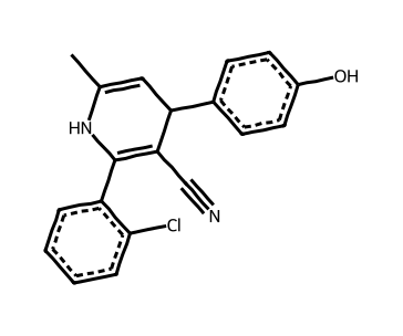 CC1=CC(c2ccc(O)cc2)C(C#N)=C(c2ccccc2Cl)N1